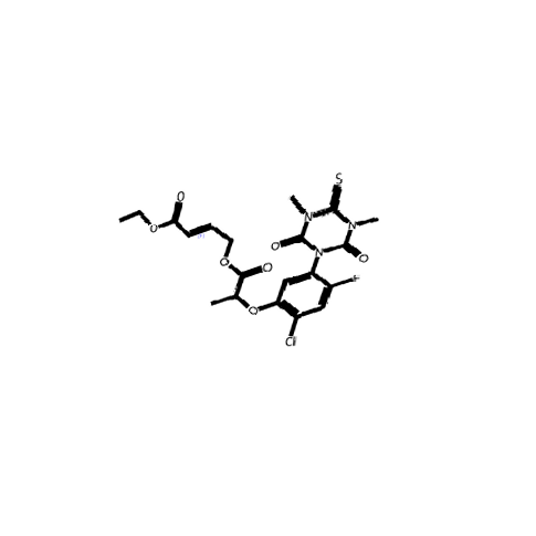 CCOC(=O)/C=C/COC(=O)C(C)Oc1cc(-n2c(=O)n(C)c(=S)n(C)c2=O)c(F)cc1Cl